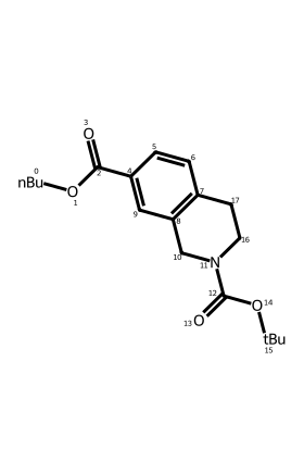 CCCCOC(=O)c1ccc2c(c1)CN(C(=O)OC(C)(C)C)CC2